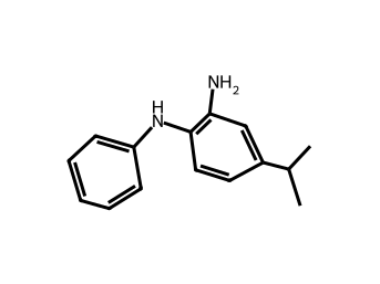 CC(C)c1ccc(Nc2ccccc2)c(N)c1